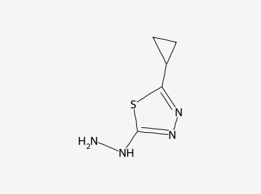 NNc1nnc(C2CC2)s1